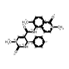 Cc1ccc2c(=O)n(C)ccc2c1NC(=O)C1=CN(C)C(=O)N[C@@H]1c1ccccc1